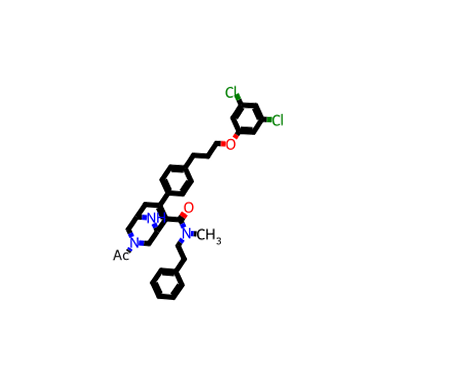 CC(=O)N1CC2CC(c3ccc(CCCOc4cc(Cl)cc(Cl)c4)cc3)=C(C(=O)N(C)CCc3ccccc3)C(C1)N2